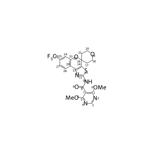 COc1ncnc(OC)c1C(=O)Nc1nc2c(s1)C1(CCOCC1)Oc1cc(C(F)(F)F)ccc1-2